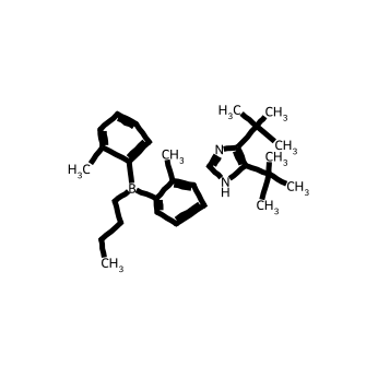 CC(C)(C)c1nc[nH]c1C(C)(C)C.CCCCB(c1ccccc1C)c1ccccc1C